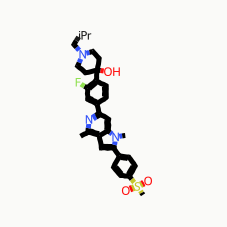 Cc1nc(-c2ccc(C3(O)CCN(CC(C)C)CC3)c(F)c2)cc2c1cc(-c1ccc(S(C)(=O)=O)cc1)n2C